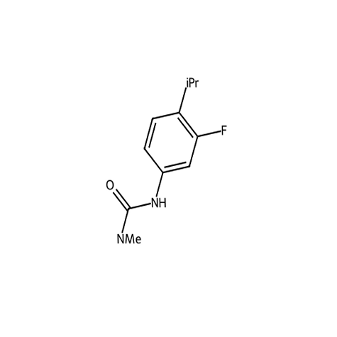 CNC(=O)Nc1ccc(C(C)C)c(F)c1